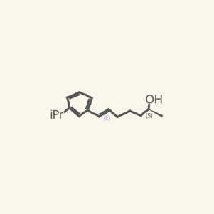 CC(C)c1cccc(/C=C/CCC[C@H](C)O)c1